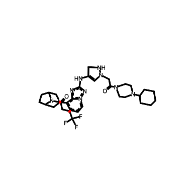 O=C(CN1C=C(Nc2nc3c(N4CC5CCC(C4)N5C(=O)CCC(F)(F)F)cccn3n2)CN1)N1CCN(C2CCCCC2)CC1